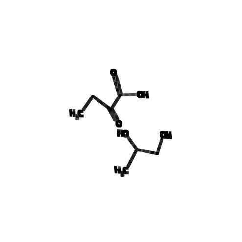 CC(O)CO.CCC(=O)C(=O)O